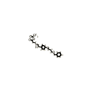 O=C(CCNCCc1ccc(OCCCOCc2ccccc2)cc1)OC(=O)C(F)(F)F